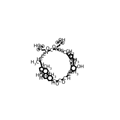 C[C@@H]1CCCN(CCS(=O)(=O)O)C(=O)CC(=O)N(CCS(=O)(=O)O)CCC[C@H](C)[C@H]2CC[C@H]3[C@@H]4[C@@H](O)CC5C[C@@H](CC[C@]5(C)[C@H]4CC[C@]23C)CC(=O)CC(=O)C[C@@H]2CC[C@@]3(C)C(C2)C[C@H](O)[C@H]2[C@@H]4CC[C@H]1[C@@]4(C)CC[C@@H]23